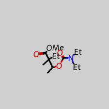 CCN(CC)C(=O)OC(C)C(C)(CC)C(=O)OC